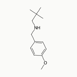 COc1ccc(CNCC(C)(C)C)cc1